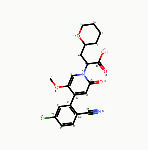 COc1cn(C(CC2CCCCO2)C(=O)O)c(=O)cc1-c1cc(Cl)ccc1C#N